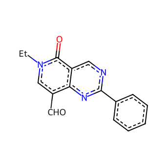 CCn1cc(C=O)c2nc(-c3ccccc3)ncc2c1=O